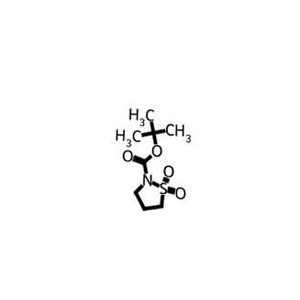 CC(C)(C)OC(=O)N1CCCS1(=O)=O